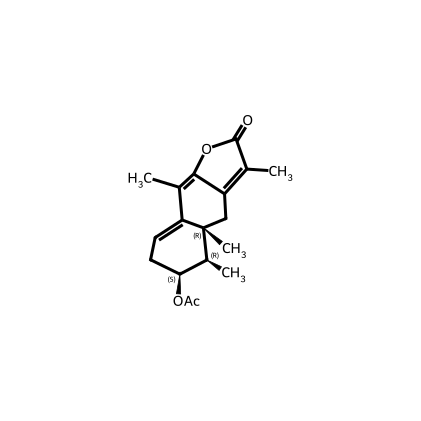 CC(=O)O[C@H]1CC=C2C(C)=C3OC(=O)C(C)=C3C[C@]2(C)[C@H]1C